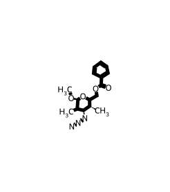 CO[C@H]1OC(COC(=O)c2ccccc2)[C@H](C)[C@H](N=[N+]=[N-])C1C